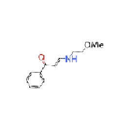 COCCNC=CC(=O)c1ccccc1